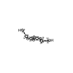 Cc1cc(C#CC(C)(C)O)ccc1Oc1ccc(S(=O)(=O)c2ccc(Oc3cccc(C#CC(C)(C)O)c3C)cc2)cc1